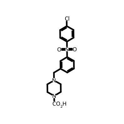 O=C(O)N1CCN(Cc2cccc(S(=O)(=O)c3ccc(Cl)cc3)c2)CC1